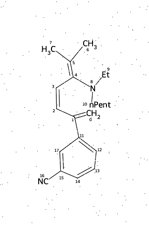 C=C(/C=C\C(=C(C)C)N(CC)CCCCC)c1cccc(C#N)c1